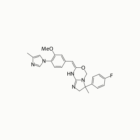 COc1cc(/C=C2\NC3=NCC(C)(c4ccc(F)cc4)N3CO2)ccc1-n1cnc(C)c1